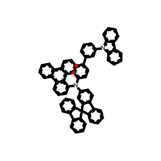 c1cc(-c2ccc(N(c3ccc4c(c3)C3(c5ccccc5-c5ccccc53)c3ccccc3-4)c3cccc4c5ccccc5c5ccccc5c34)cc2)cc(-n2c3ccccc3c3ccccc32)c1